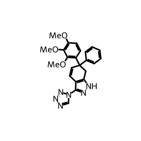 COc1ccc(C2(c3ccccc3)C=Cc3c(-n4cnnn4)n[nH]c3C2)c(OC)c1OC